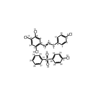 Clc1ccc(SN=Nc2cc(Cl)c(Cl)cc2Cl)cc1.O=S(=O)(c1ccccc1)c1ccc(Cl)cc1